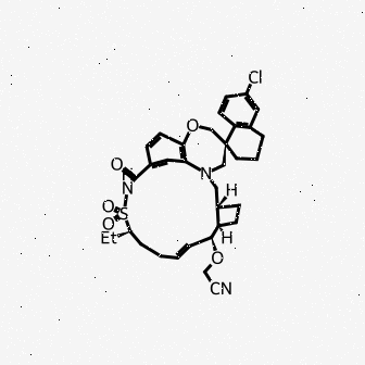 CC[C@@H]1CC/C=C/[C@H](OCC#N)[C@@H]2CC[C@H]2CN2C[C@@]3(CCCc4cc(Cl)ccc43)COc3ccc(cc32)C(=O)NS1(=O)=O